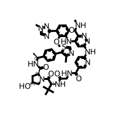 CNC(=O)c1nnc(Nc2ccc(C(=O)NCC(=O)N[C@H](C(=O)N3C[C@H](O)C[C@H]3C(=O)N[C@@H](C)c3ccc(-c4scnc4C)cc3)C(C)(C)C)cn2)cc1Nc1cccc(-c2ncn(C)n2)c1OC